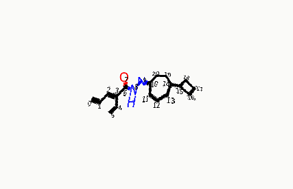 C=C/C=C(\C=C)C(=O)N/N=C1\CCCC(C2CCC2)CC1